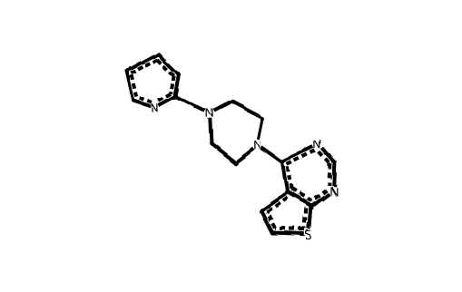 c1ccc(N2CCN(c3ncnc4sccc34)CC2)nc1